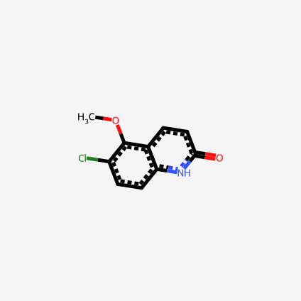 COc1c(Cl)ccc2[nH]c(=O)ccc12